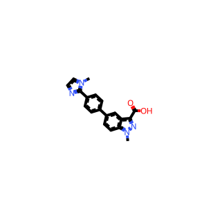 Cn1ccnc1-c1ccc(-c2ccc3c(c2)c(C(=O)O)nn3C)cc1